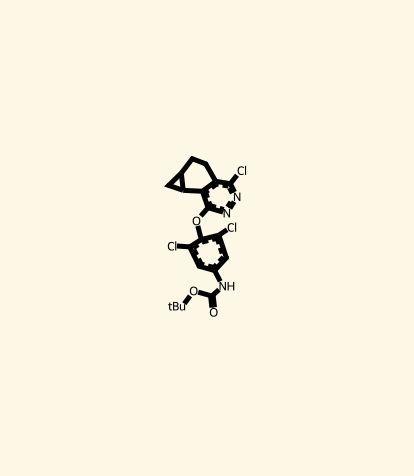 CC(C)(C)OC(=O)Nc1cc(Cl)c(Oc2nnc(Cl)c3c2C2CC2CC3)c(Cl)c1